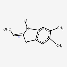 CCN1/C(=C\C=O)Sc2cc(C)c(C)cc21